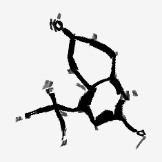 Oc1ccc2nc(Cl)cc(C(F)(F)F)c2c1